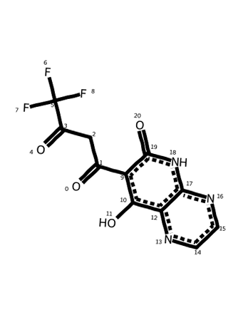 O=C(CC(=O)C(F)(F)F)c1c(O)c2nccnc2[nH]c1=O